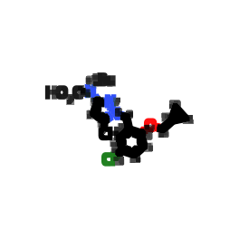 Cc1cc(N(C(=O)O)C(C)(C)C)nn1Cc1cc(Cl)ccc1OCC1CC1